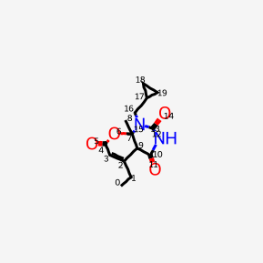 CCC1=CC(=O)OC2(C)C1C(=O)NC(=O)N2CC1CC1